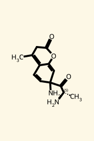 CC1=C2C=CC(N)(C(=O)[C@H](C)N)C=C2OC(=O)C1